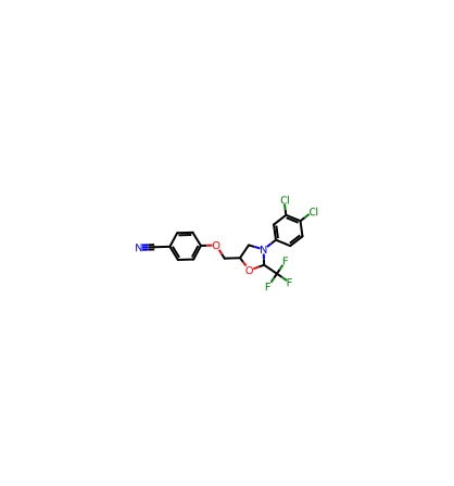 N#Cc1ccc(OCC2CN(c3ccc(Cl)c(Cl)c3)C(C(F)(F)F)O2)cc1